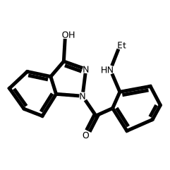 CCNc1ccccc1C(=O)n1nc(O)c2ccccc21